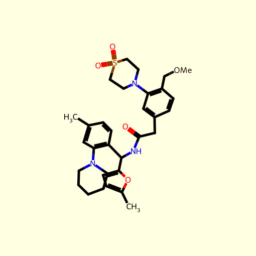 COCc1ccc(CC(=O)NC(c2ccc(C)o2)c2ccc(C)cc2N2CCCCC2)cc1N1CCS(=O)(=O)CC1